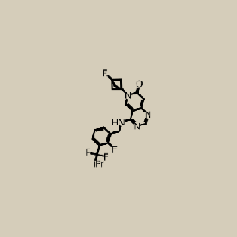 CC(C)C(F)(F)c1cccc(CNc2ncnc3cc(=O)n(C45CC(F)(C4)C5)cc23)c1F